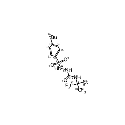 CCC(NC(=O)NNS(=O)(=O)c1ccc(C(C)(C)C)cc1)(C(F)(F)F)C(F)(F)F